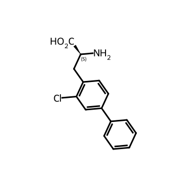 N[C@@H](Cc1ccc(-c2ccccc2)cc1Cl)C(=O)O